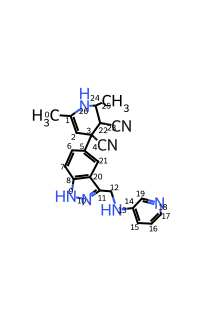 CC1=CC(C#N)(c2ccc3[nH]nc(CNc4cccnc4)c3c2)C(C#N)C(C)N1